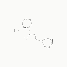 O=C(/C=C/c1ccccc1)c1ccccc1O